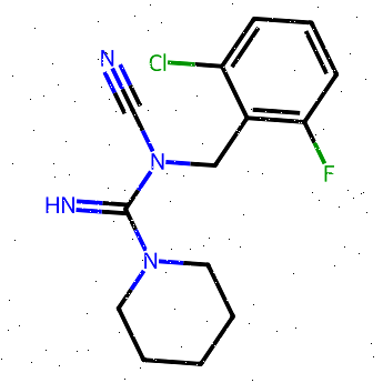 N#CN(Cc1c(F)cccc1Cl)C(=N)N1CCCCC1